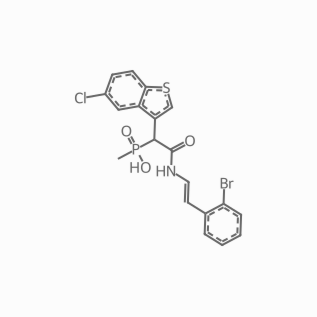 CP(=O)(O)C(C(=O)NC=Cc1ccccc1Br)c1csc2ccc(Cl)cc12